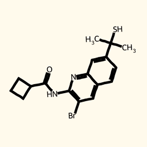 CC(C)(S)c1ccc2cc(Br)c(NC(=O)C3CCC3)nc2c1